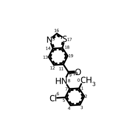 Cc1cccc(Cl)c1NC(=O)c1ccc2ncsc2c1